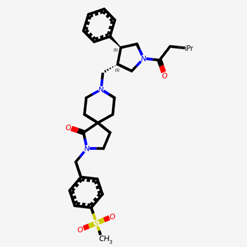 CC(C)CC(=O)N1C[C@H](CN2CCC3(CC2)CCN(Cc2ccc(S(C)(=O)=O)cc2)C3=O)[C@@H](c2ccccc2)C1